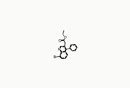 CCOC(=O)Cc1cnc2c(Br)cccc2c1-c1ccccc1